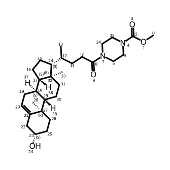 COC(=O)N1CCN(C(=O)CCC(C)[C@H]2CC[C@H]3[C@@H]4CC=C5C[C@@H](O)CC[C@]5(C)[C@H]4CC[C@]23C)CC1